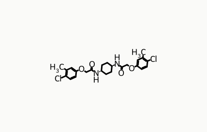 Cc1cc(OCC(=O)N[C@H]2CC[C@H](NC(=O)COc3ccc(Cl)c(C)c3)CC2)ccc1Cl